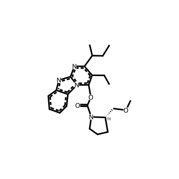 CCc1c(C(C)CC)nc2nc3ccccc3n2c1OC(=O)N1CCC[C@H]1COC